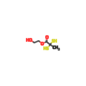 CC(S)(S)C(=O)OCCO